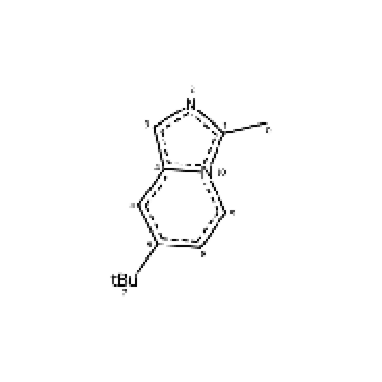 Cc1ncc2cc(C(C)(C)C)ccn12